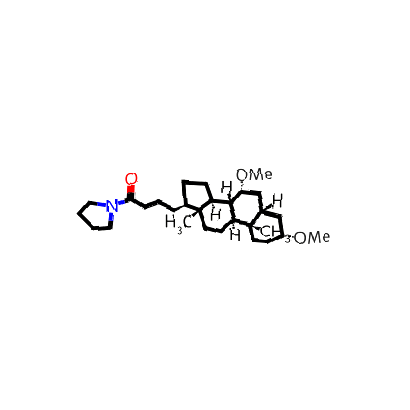 CO[C@@H]1CC[C@@]2(C)[C@@H](C1)C[C@@H](OC)[C@@H]1[C@@H]2CC[C@]2(C)[C@@H](CCCC(=O)N3CCCC3)CC[C@@H]12